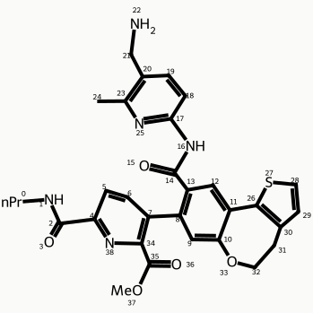 CCCNC(=O)c1ccc(-c2cc3c(cc2C(=O)Nc2ccc(CN)c(C)n2)-c2sccc2CCO3)c(C(=O)OC)n1